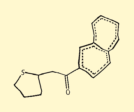 O=C(CC1CCCS1)c1ccc2ccccc2c1